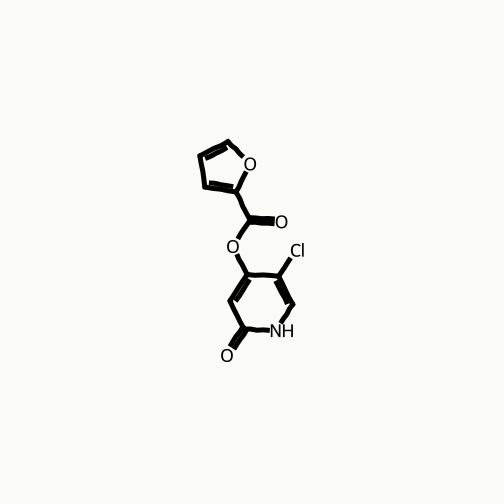 O=C(Oc1cc(=O)[nH]cc1Cl)c1ccco1